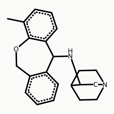 Cc1cccc2c1OCc1ccccc1C2NC1CN2CCC1CC2